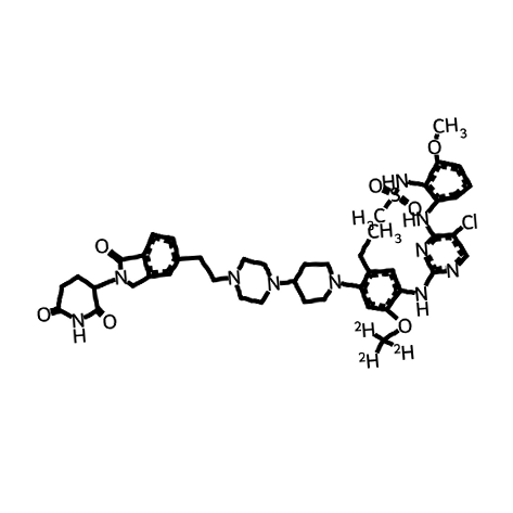 [2H]C([2H])([2H])Oc1cc(N2CCC(N3CCN(CCc4ccc5c(c4)CN(C4CCC(=O)NC4=O)C5=O)CC3)CC2)c(CC)cc1Nc1ncc(Cl)c(Nc2cccc(OC)c2NS(C)(=O)=O)n1